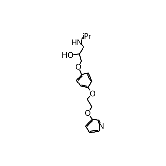 CC(C)NCC(O)COc1ccc(OCCOc2cccnc2)cc1